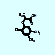 Cc1cc(Cl)c(OC(C)C(=O)O)cc1C